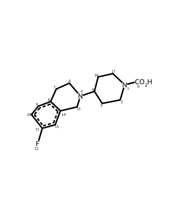 O=C(O)N1CCC(N2CCc3ccc(F)cc3C2)CC1